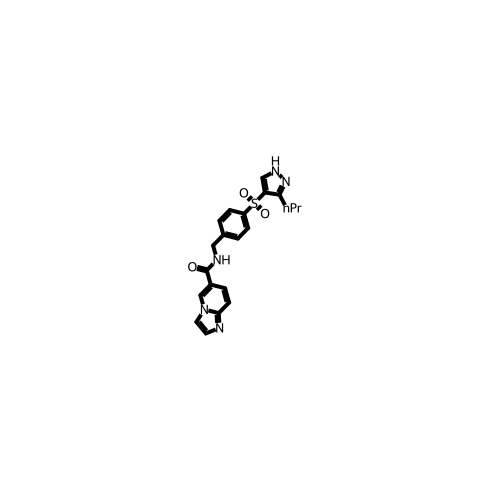 CCCc1n[nH]cc1S(=O)(=O)c1ccc(CNC(=O)c2ccc3nccn3c2)cc1